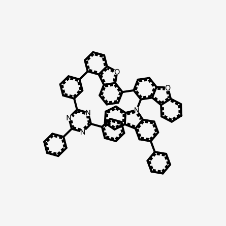 c1ccc(-c2ccc3c(c2)c2ccccc2n3-c2c(-c3cccc4c3oc3cccc(-c5cccc(-c6nc(-c7ccccc7)nc(-c7ccccc7)n6)c5)c34)ccc3oc4ccccc4c23)cc1